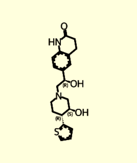 O=C1CCc2cc([C@@H](O)CN3CC[C@@H](c4cccs4)[C@H](O)C3)ccc2N1